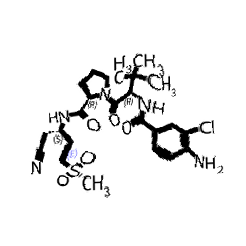 CC(C)(C)[C@@H](NC(=O)c1ccc(N)c(Cl)c1)C(=O)N1CCC[C@@H]1C(=O)N[C@H](/C=C/S(C)(=O)=O)CC#N